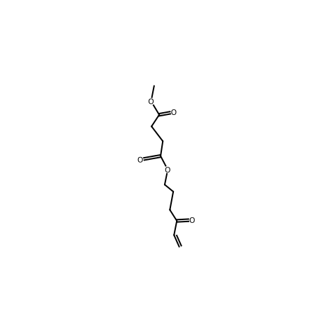 C=CC(=O)CCCOC(=O)CCC(=O)OC